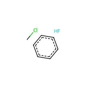 CCl.F.c1ccccc1